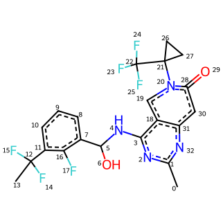 Cc1nc(NC(O)c2cccc(C(C)(F)F)c2F)c2cn(C3(C(F)(F)F)CC3)c(=O)cc2n1